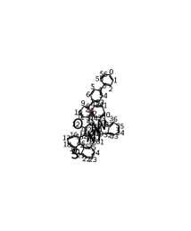 c1ccc(-c2ccc(-c3ccc4oc5c(-c6cccc7sc8cccc(-c9ccc%10c(c9)c9ccccc9n%10-c9ccccc9)c8c67)ncnc5c4c3)cc2)cc1